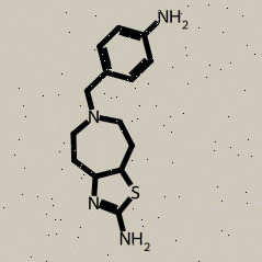 NC1=NC2CCN(Cc3ccc(N)cc3)CCC2S1